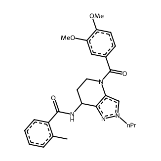 CCCn1cc2c(n1)C(NC(=O)c1ccccc1C)CCN2C(=O)c1ccc(OC)c(OC)c1